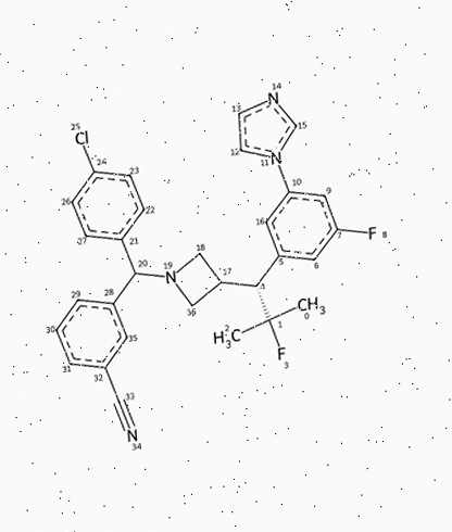 CC(C)(F)[C@@H](c1cc(F)cc(-n2ccnc2)c1)C1CN(C(c2ccc(Cl)cc2)c2cccc(C#N)c2)C1